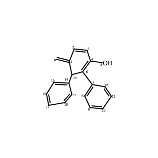 C=C1C=CC(O)=C(c2ccccc2)C1c1ccccc1